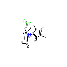 CC1=C(C)C(C)C([N]([Hf+2]=[Si](C)C)C(C)(C)C)=C1C.[Cl-].[Cl-]